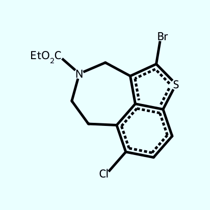 CCOC(=O)N1CCc2c(Cl)ccc3sc(Br)c(c23)C1